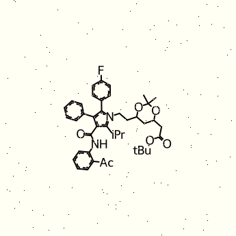 CC(=O)c1ccccc1NC(=O)c1c(-c2ccccc2)c(-c2ccc(F)cc2)n(CCC2CC(CC(=O)OC(C)(C)C)OC(C)(C)O2)c1C(C)C